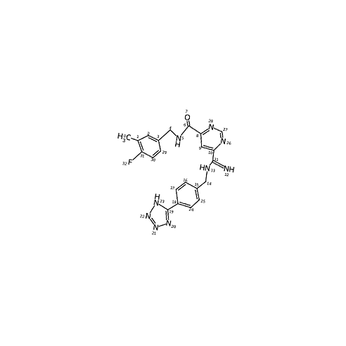 Cc1cc(CNC(=O)c2cc(C(=N)NCc3ccc(-c4nnn[nH]4)cc3)ncn2)ccc1F